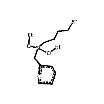 CCO[Si](CCCCBr)(Cc1ccccc1)OCC